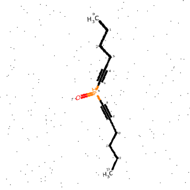 CCCCC#C[PH](=O)C#CCCCC